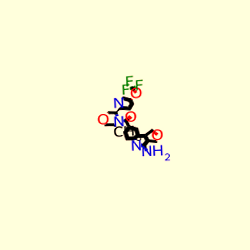 C[C@H]1COC[C@@H](c2ccc(OC(F)(F)F)cn2)N1C(=O)c1ccc2nc(N)c3c(c2c1)COC3